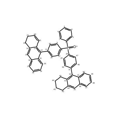 O=P(c1ccccc1)(c1ccc(-c2c3c(cc4ccccc24)CCC=C3)cc1)c1ccc(-c2c3c(cc4ccccc24)CCCC3)cc1